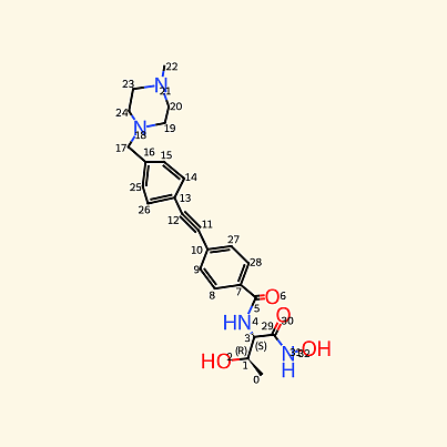 C[C@@H](O)[C@H](NC(=O)c1ccc(C#Cc2ccc(CN3CCN(C)CC3)cc2)cc1)C(=O)NO